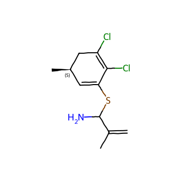 C=C(C)C(N)SC1=C[C@@H](C)CC(Cl)=C1Cl